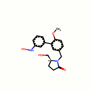 COc1ccc(CN2C(=O)CC[C@H]2CO)cc1-c1cccc(NO)c1